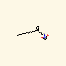 CCCCCCCCCCCCC1C2C=CC(C2)C1CCCCN1C(=O)C=CC1=O